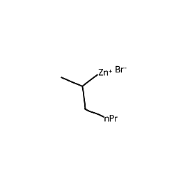 CCCC[CH](C)[Zn+].[Br-]